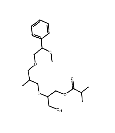 COC(COCC(C)COC(CO)COC(=O)C(C)C)c1ccccc1